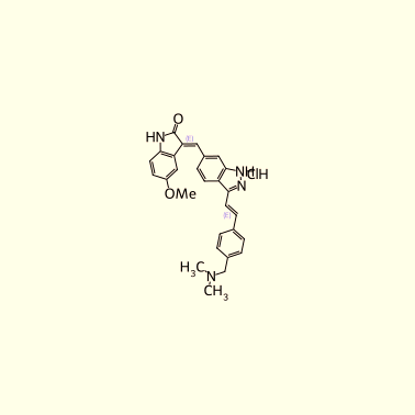 COc1ccc2c(c1)/C(=C\c1ccc3c(/C=C/c4ccc(CN(C)C)cc4)n[nH]c3c1)C(=O)N2.Cl